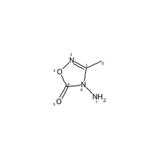 Cc1noc(=O)n1N